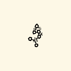 C[Si]1(C)c2ccc(-c3nc(-c4ccccc4)nc(-c4ccccc4)n3)cc2-c2cc3c(cc21)[Si](C)(C)c1ccccc1P3(=O)c1ccccc1